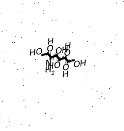 N[C@@H]([C@@H](O)[C@H](O)[C@H](O)[C@@H](O)CO)[C@H](O)CO